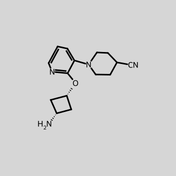 N#CC1CCN(c2cccnc2O[C@H]2C[C@@H](N)C2)CC1